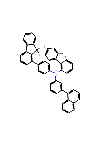 CC1(C)c2ccccc2-c2cccc(-c3ccc(N(c4cccc(-c5cccc6ccccc56)c4)c4cccc5sc6ccccc6c45)cc3)c21